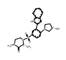 C[C@@H]1C(=O)N(C)CCN1S(=O)(=O)c1ccc(N2CC[C@H](O)C2)c(-c2cc3ccccc3[nH]2)c1